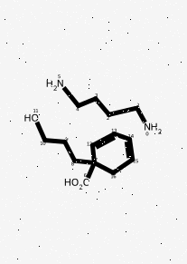 NCCCCN.O=C(O)C1(CCCO)C=CC=CC1